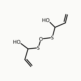 C=CC(O)SOSC(O)C=C